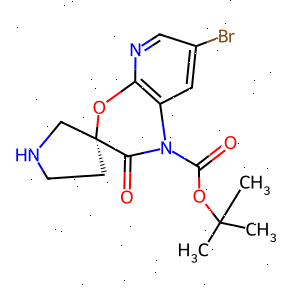 CC(C)(C)OC(=O)N1C(=O)[C@]2(CCNC2)Oc2ncc(Br)cc21